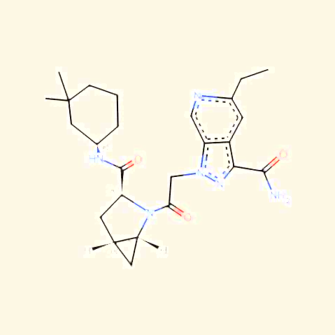 CCc1cc2c(C(N)=O)nn(CC(=O)N3[C@@H]4C[C@@H]4C[C@H]3C(=O)N[C@@H]3CCCC(C)(C)C3)c2cn1